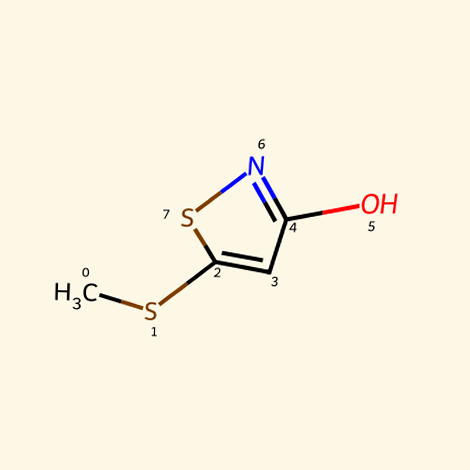 CSc1cc(O)ns1